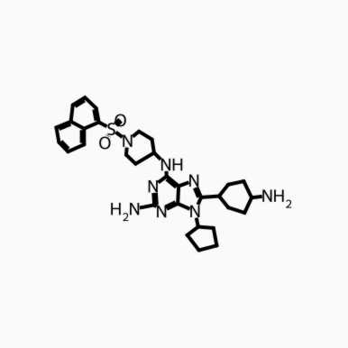 Nc1nc(NC2CCN(S(=O)(=O)c3cccc4ccccc34)CC2)c2nc(C3CCC(N)CC3)n(C3CCCC3)c2n1